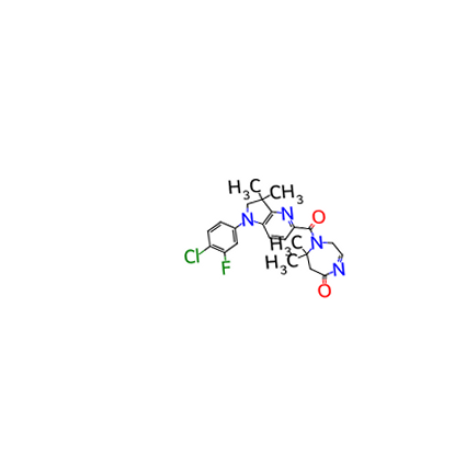 CC1(C)CN(c2ccc(Cl)c(F)c2)c2ccc(C(=O)N3CC=NC(=O)CC3(C)C)nc21